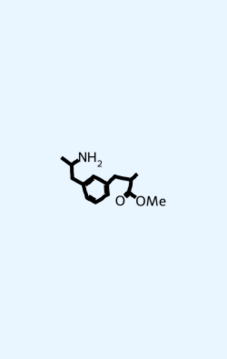 COC(=O)C(C)Cc1cccc(CC(C)N)c1